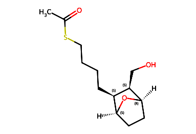 CC(=O)SCCCC[C@H]1[C@@H](CO)[C@H]2CC[C@@H]1O2